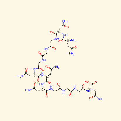 NC(=O)C[C@H](NC(=O)CNC(=O)CNC(=O)CNC(=O)[C@H](CC(N)=O)NC(=O)[C@H](CC(N)=O)NC(=O)[C@H](CC(N)=O)NC(=O)CNC(=O)CNC(=O)CNC(=O)[C@H](CC(N)=O)NC(=O)[C@@H](N)CC(N)=O)C(=O)O